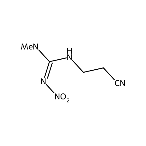 CNC(=N[N+](=O)[O-])NCCC#N